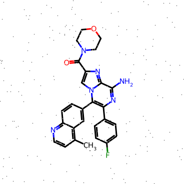 Cc1ccnc2ccc(-c3c(-c4ccc(F)cc4)nc(N)c4nc(C(=O)N5CCOCC5)cn34)cc12